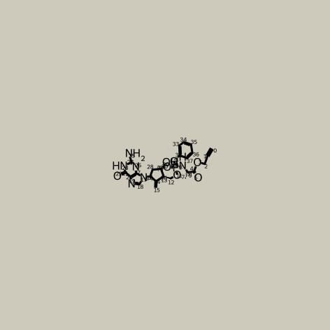 C#CCOC(=O)[C@H](C)N[P@](=O)(OC[C@H]1C(=C)[C@@H](n2cnc3c(=O)[nH]c(N)nc32)C[C@@H]1O)Oc1ccccc1